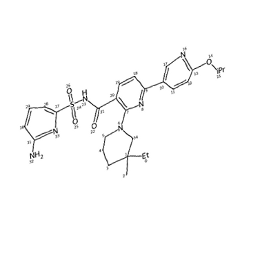 CCC1(C)CCCN(c2nc(-c3ccc(OC(C)C)nc3)ccc2C(=O)NS(=O)(=O)c2cccc(N)n2)C1